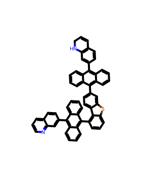 C1=Cc2ccc(-c3c4ccccc4c(-c4ccc5c(c4)sc4cccc(-c6c7ccccc7c(-c7ccc8cccnc8c7)c7ccccc67)c45)c4ccccc34)cc2NC1